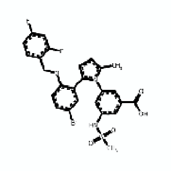 Cc1ccc(-c2cc(Br)ccc2OCc2ccc(F)cc2F)n1-c1cc(NS(C)(=O)=O)cc(C(=O)O)c1